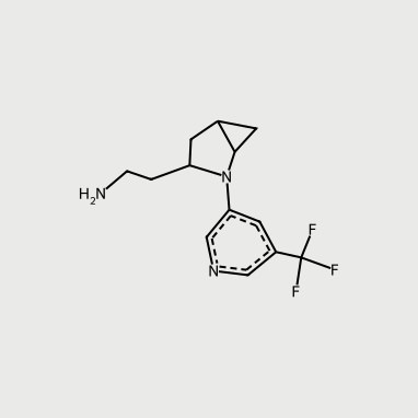 NCCC1CC2CC2N1c1cncc(C(F)(F)F)c1